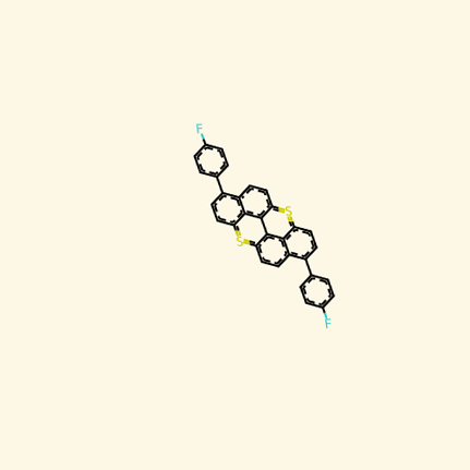 Fc1ccc(-c2ccc3sc4ccc5c(-c6ccc(F)cc6)ccc6sc7ccc2c3c7-c4c65)cc1